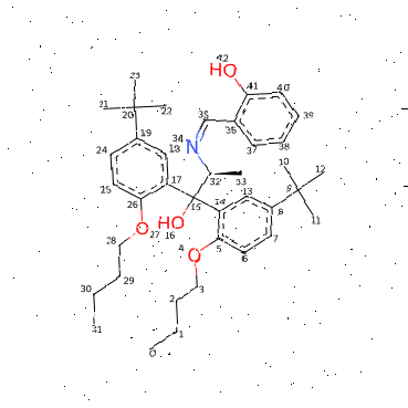 CCCCOc1ccc(C(C)(C)C)cc1C(O)(c1cc(C(C)(C)C)ccc1OCCCC)[C@H](C)N=Cc1ccccc1O